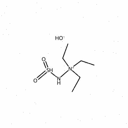 CC[N+](CC)(CC)N[SH](=O)=O.[OH-]